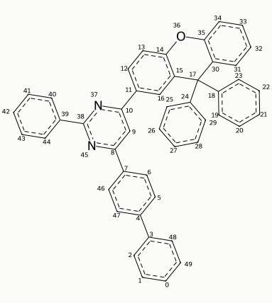 c1ccc(-c2ccc(-c3cc(-c4ccc5c(c4)C(c4ccccc4)(c4ccccc4)c4ccccc4O5)nc(-c4ccccc4)n3)cc2)cc1